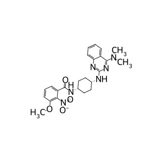 COc1cccc(C(=O)N[C@H]2CC[C@@H](Nc3nc(N(C)C)c4ccccc4n3)CC2)c1[N+](=O)[O-]